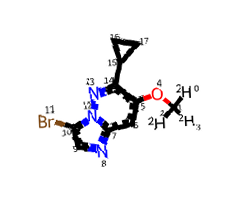 [2H]C([2H])([2H])Oc1cc2ncc(Br)n2nc1C1CC1